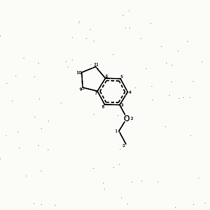 CCOc1ccc2c(c1)[C]CC2